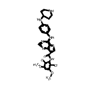 COc1cc(OC)c(Cl)c(NC(=O)c2csc3c(Nc4ccc(NC5CCNCC5)cc4)ncnc23)c1Cl